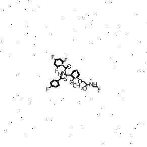 COc1c(OCC(=O)NCCF)cccc1C1SC(c2ccc(F)cc2)=NN1C(=O)c1c(F)cc(F)cc1F